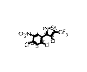 O=[N+]([O-])c1cc(-c2nsc(C(F)(F)F)c2Cl)c(Cl)cc1Cl